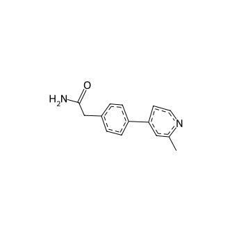 Cc1cc(-c2ccc(CC(N)=O)cc2)ccn1